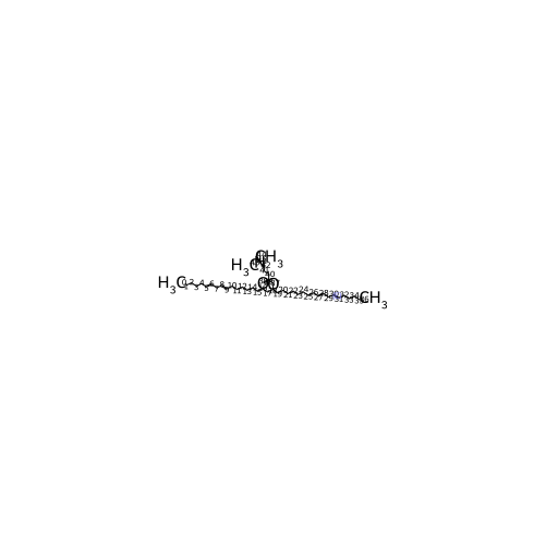 CCCCCC=CCC=CCCCCCCCCC(CCCCCCCCC=CC/C=C/CCCCC)OC(=O)CCCN(C)C